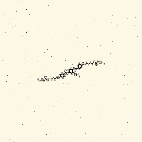 C=CC(=O)OCCCCCOc1ccc(/C=N/c2ccc(OC(=O)c3ccc(OCCCCCOC(=O)C=C)cc3)cc2OC)cc1